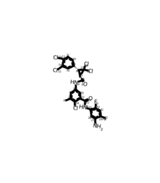 Cc1cc(NC(=O)[C@H]2[C@H](c3ccc(Cl)c(Cl)c3)C2(Cl)Cl)cc(C(=O)Nc2cc(N)c(F)cc2F)c1Cl